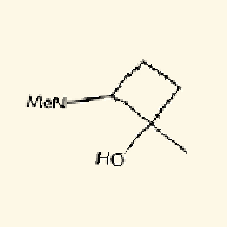 CNC1CCC1(C)O